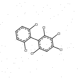 Clc1cc(Cl)c(-c2c(Cl)cccc2Cl)c(Cl)c1Cl